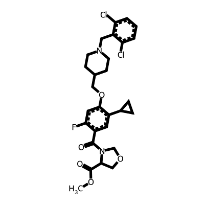 COC(=O)C1COCN1C(=O)c1cc(C2CC2)c(OCC2CCN(Cc3c(Cl)cccc3Cl)CC2)cc1F